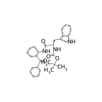 CC(C)(C)OC(=O)N[C@H](Cc1c[nH]c2ccccc12)C(=O)Nc1ccccc1C(=O)c1ccccc1